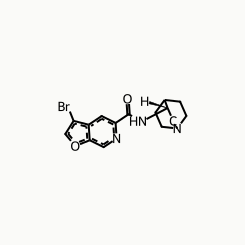 O=C(N[C@H]1CN2CCC1CC2)c1cc2c(Br)coc2cn1